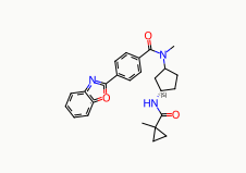 CN(C(=O)c1ccc(-c2nc3ccccc3o2)cc1)C1CC[C@H](NC(=O)C2(C)CC2)C1